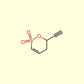 C#CC1CC=CS(=O)(=O)O1